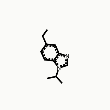 CC(C)n1cnc2cc(CI)ccc21